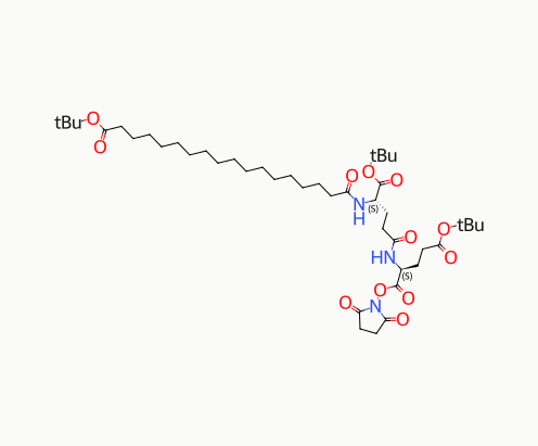 CC(C)(C)OC(=O)CCCCCCCCCCCCCCCCC(=O)N[C@@H](CCC(=O)N[C@@H](CCC(=O)OC(C)(C)C)C(=O)ON1C(=O)CCC1=O)C(=O)OC(C)(C)C